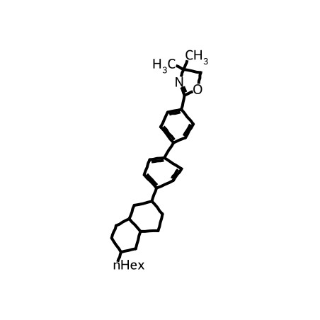 CCCCCCC1CCC2CC(c3ccc(-c4ccc(C5=NC(C)(C)CO5)cc4)cc3)CCC2C1